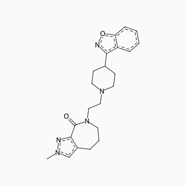 Cn1cc2c(n1)C(=O)N(CCN1CCC(c3noc4ccccc34)CC1)CCC2